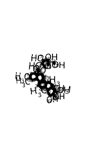 CC1(C)CCC2(C(=O)O[C@H]3O[C@@H](CO)[C@H](O)[C@@H](O)[C@@H]3O)CCC3(C)C(=CCC4C5(C)CC(O)C(O)C(C)(CO)C5CCC43C)C2C1